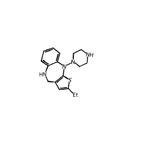 CCc1cc2c(s1)N(N1CCNCC1)c1ccccc1NC2